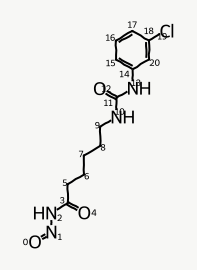 O=NNC(=O)CCCCCNC(=O)Nc1cccc(Cl)c1